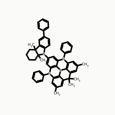 Cc1cc2c3c(c1)C(C)(C)c1cc(C)cc4c1B3c1c(cc(N3c5ccc(-c6ccccc6)cc5C5(C)CCCCC35C)cc1N4c1ccccc1)N2c1ccccc1